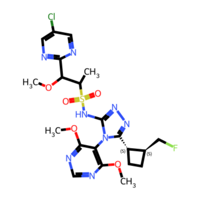 COc1ncnc(OC)c1-n1c(NS(=O)(=O)C(C)C(OC)c2ncc(Cl)cn2)nnc1[C@H]1CC[C@@H]1CF